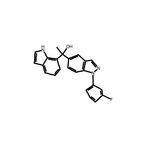 CC(O)(c1ccc2c(cnn2-c2cccc(F)c2)c1)c1cccc2cc[nH]c12